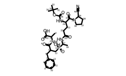 CC(NC(=O)C(Cc1ccccc1)CP(=O)(O)C(C)NC(=O)CCC(NC(=O)OC(C)(C)C)C(=O)N1CCCC1C#N)C(=O)O